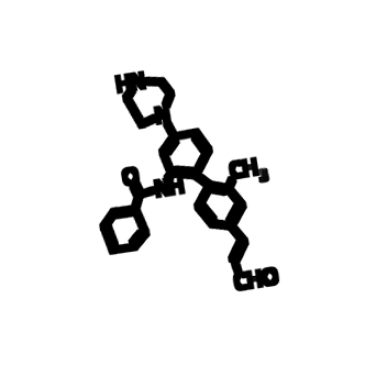 Cc1cc(/C=C/C=O)ccc1-c1ccc(N2CCNCC2)cc1NC(=O)c1ccccc1